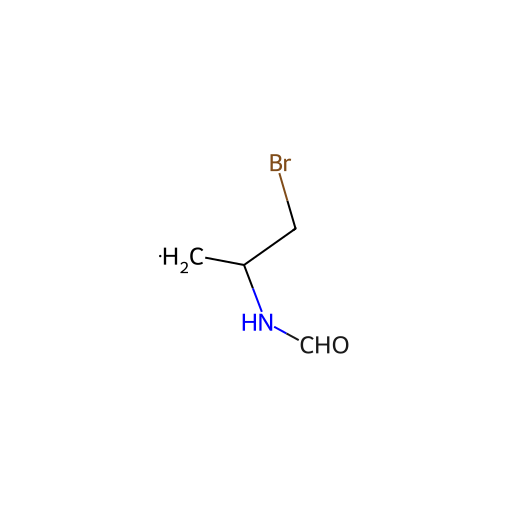 [CH2]C(CBr)NC=O